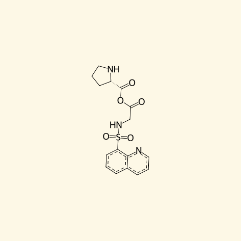 O=C(CNS(=O)(=O)c1cccc2cccnc12)OC(=O)[C@@H]1CCCN1